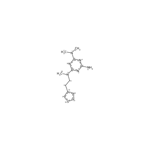 CN(C)c1nc(N)nc(N(C)CCc2ccsc2)n1